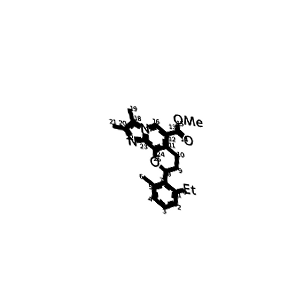 CCc1cccc(C)c1C1CCc2c(C(=O)OC)cn3c(C)c(C)nc3c2O1